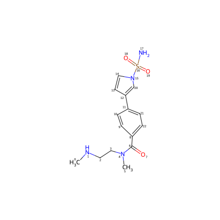 CNCCN(C)C(=O)c1ccc(-c2ccn(S(N)(=O)=O)c2)cc1